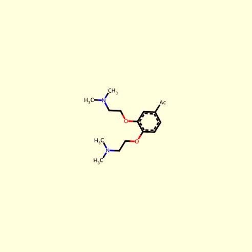 CC(=O)c1ccc(OCCN(C)C)c(OCCN(C)C)c1